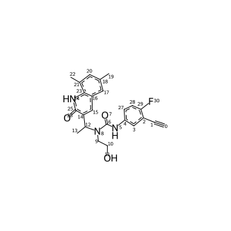 C#Cc1cc(NC(=O)N(CCO)C(C)c2cc3cc(C)cc(C)c3[nH]c2=O)ccc1F